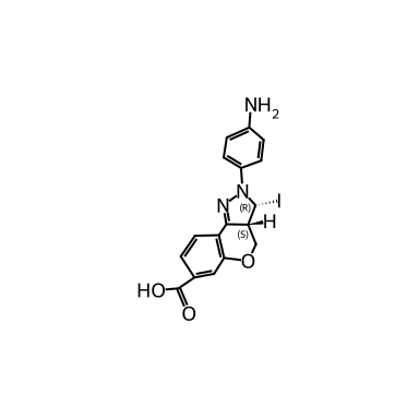 Nc1ccc(N2N=C3c4ccc(C(=O)O)cc4OC[C@H]3[C@H]2I)cc1